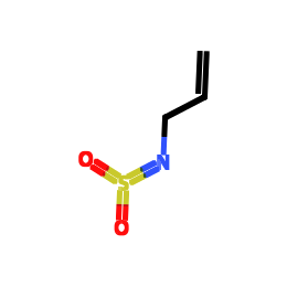 C=CCN=S(=O)=O